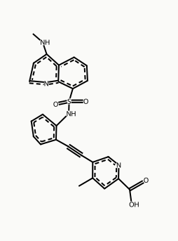 CNc1ccnc2c(S(=O)(=O)Nc3ccccc3C#Cc3cnc(C(=O)O)cc3C)cccc12